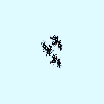 CCC(C)C(C(=O)O)c1c(C)n(C(=O)c2ccc(C(F)(F)F)cc2)c2cc(F)c(OC)cc12.CCCCc1c(OC)c(F)cc2c1c(OC(C)=O)c(C)n2C(=O)c1ccc(C(F)(F)F)cc1.COc1cc2c(OC(C)=O)c(C)n(C(=O)c3ccc(C(F)(F)F)cc3)c2cc1F